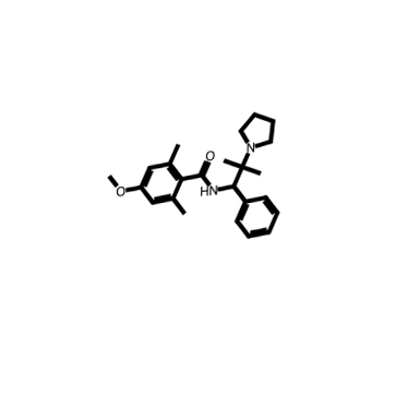 COc1cc(C)c(C(=O)NC(c2ccccc2)C(C)(C)N2CCCC2)c(C)c1